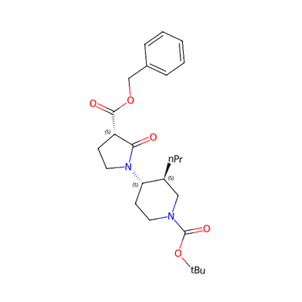 CCC[C@H]1CN(C(=O)OC(C)(C)C)CC[C@@H]1N1CC[C@H](C(=O)OCc2ccccc2)C1=O